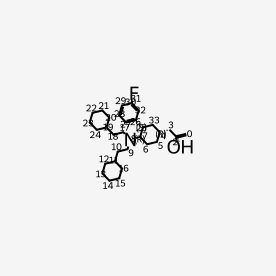 C=C(O)C[C@@H]1CC[C@@H](N(CCC2CCCCC2)CCC2CCCCC2)[C@H](c2cccc(F)c2)C1